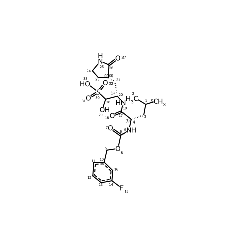 CC(C)C[C@H](NC(=O)OCc1cccc(F)c1)C(=O)N[C@@H](C[C@@H]1CCNC1=O)C(O)S(=O)(=O)O